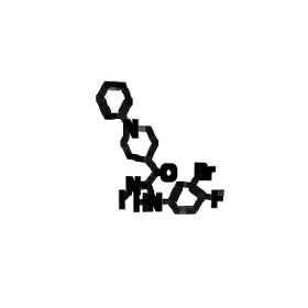 O=C(/C(=N/I)Nc1ccc(F)c(Br)c1)C1CCN(c2ccccc2)CC1